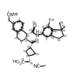 CC#N.COCc1ccc2c(c1)CCN(C(=O)[C@H]1C[C@@H](CC(=O)O)C1)[C@H]2C(=O)Nc1cc(F)c2c(c1)CCC2(C)C